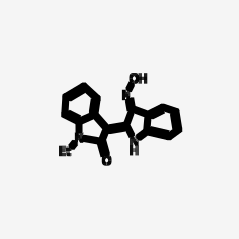 CCN1C(=O)/C(=C2\Nc3ccccc3\C2=N/O)c2ccccc21